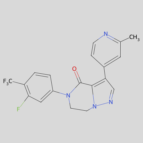 Cc1cc(-c2cnn3c2C(=O)N(c2ccc(C(F)(F)F)c(F)c2)CC3)ccn1